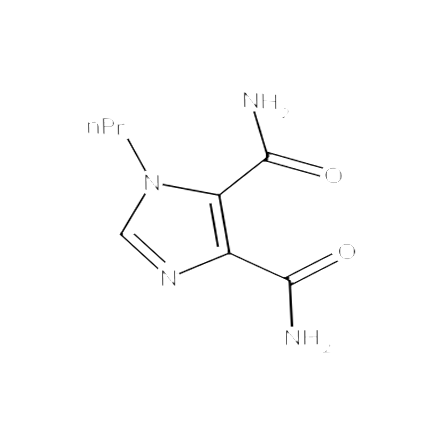 CCCn1cnc(C(N)=O)c1C(N)=O